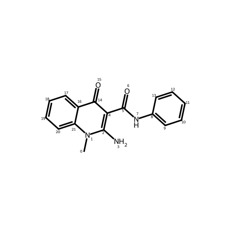 Cn1c(N)c(C(=O)Nc2ccccc2)c(=O)c2ccccc21